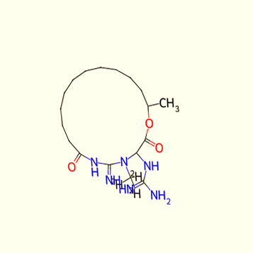 [2H]C([2H])([2H])N1C(=N)NC(=O)CCCCCCCCCCC(C)OC(=O)C1NC(=N)N